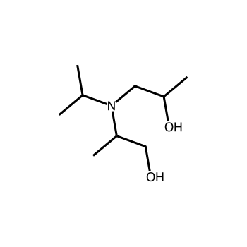 CC(O)CN(C(C)C)C(C)CO